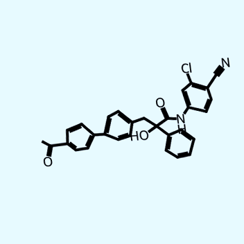 CC(=O)c1ccc(-c2ccc(CC(O)(C(=O)Nc3ccc(C#N)c(Cl)c3)c3ccccc3)cc2)cc1